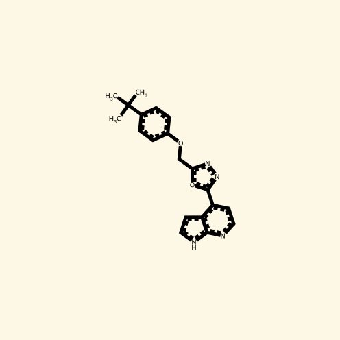 CC(C)(C)c1ccc(OCc2nnc(-c3ccnc4[nH]ccc34)o2)cc1